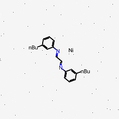 CCCCc1cccc(N=CC=Nc2cccc(CCCC)c2)c1.[Ni]